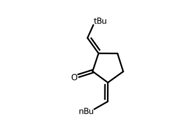 CCCCC=C1CCC(=CC(C)(C)C)C1=O